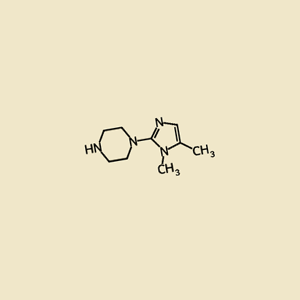 Cc1cnc(N2CCNCC2)n1C